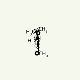 COc1ccc(-c2nc(CC(=O)CC(=O)CCCC3CCCCC3C)c(C)o2)cc1OC